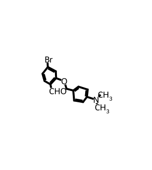 CN(C)c1ccc(COc2cc(Br)ccc2C=O)cc1